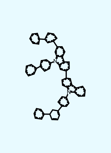 C1=CC(c2ccccc2)CC(c2ccc(-n3c4ccccc4c4cc(-c5ccc6c7ccc(-c8cccc(-c9ccccc9)c8)cc7n(-c7ccc(-c8ccccc8)cc7)c6c5)ccc43)cc2)=C1